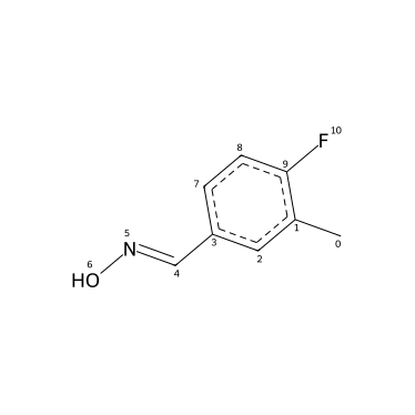 Cc1cc(C=NO)ccc1F